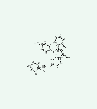 O=C(c1cc2ccccc2n1Cc1ccc(F)cc1)N1CCC(CNCc2ccccc2)CC1